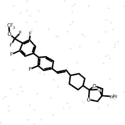 CCCC12COC(C3CCC(/C=C/c4ccc(-c5cc(F)c(C(F)(F)OC(F)(F)F)c(F)c5)c(F)c4)CC3)(OC1)O2